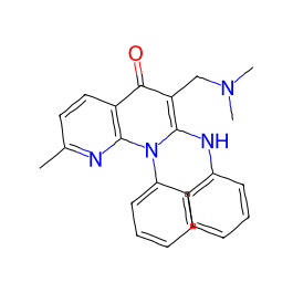 Cc1ccc2c(=O)c(CN(C)C)c(Nc3ccccc3)n(-c3ccccc3)c2n1